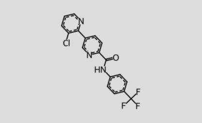 O=C(Nc1ccc(C(F)(F)F)cc1)c1ccc(-c2ncccc2Cl)cn1